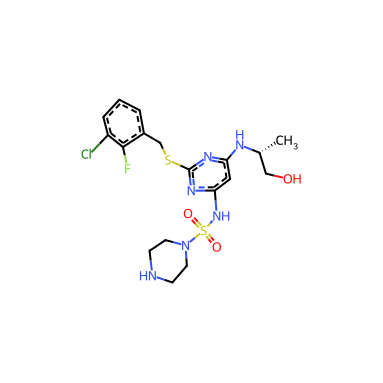 C[C@H](CO)Nc1cc(NS(=O)(=O)N2CCNCC2)nc(SCc2cccc(Cl)c2F)n1